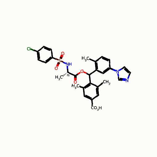 Cc1ccc(-n2ccnc2)cc1C(OC(=O)[C@H](C)NS(=O)(=O)c1ccc(Cl)cc1)c1c(C)cc(C(=O)O)cc1C